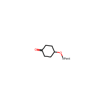 CCCCCOC1CCC(=O)CC1